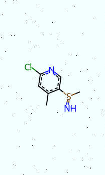 Cc1cc(Cl)ncc1S(C)=N